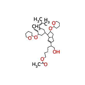 CC=CC(CC(CCC=C(C)C)C1C(OC2CCCCO2)CC2CC(C(CO)CCCCOC(C)=O)=CC21)OC1CCCCO1